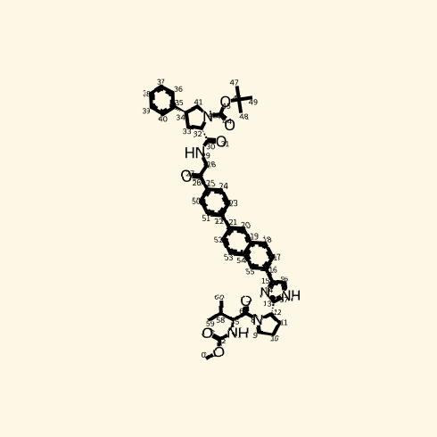 COC(=O)N[C@H](C(=O)N1CCC[C@H]1c1nc(-c2ccc3cc(-c4ccc(C(=O)CNC(=O)[C@@H]5C[C@@H](c6ccccc6)CN5C(=O)OC(C)(C)C)cc4)ccc3c2)c[nH]1)C(C)C